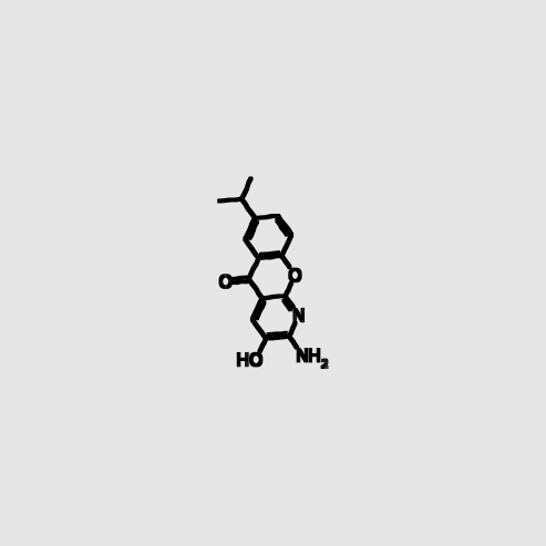 CC(C)c1ccc2oc3nc(N)c(O)cc3c(=O)c2c1